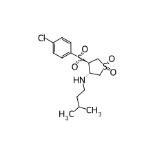 CC(C)CCN[C@H]1CS(=O)(=O)C[C@@H]1S(=O)(=O)c1ccc(Cl)cc1